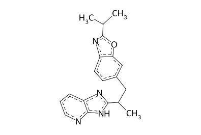 CC(C)c1nc2ccc(CC(C)c3nc4cccnc4[nH]3)cc2o1